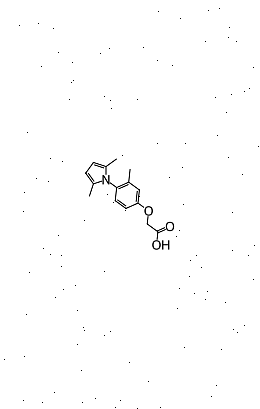 Cc1cc(OCC(=O)O)ccc1-n1c(C)ccc1C